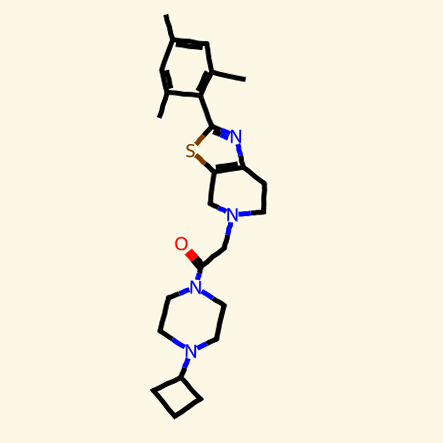 Cc1cc(C)c(-c2nc3c(s2)CN(CC(=O)N2CCN(C4CCC4)CC2)CC3)c(C)c1